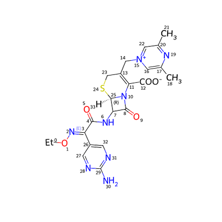 CCO/N=C(/C(=O)NC1C(=O)N2C(C(=O)[O-])=C(C[n+]3cc(C)nc(C)c3)CS[C@H]12)c1cnc(N)nc1